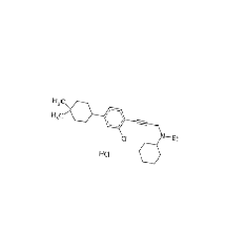 CCN(CC#Cc1ccc(C2CCC(C)(C)CC2)cc1Cl)C1CCCCC1.Cl